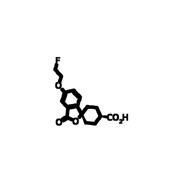 O=C1O[C@]2(CC[C@H](C(=O)O)CC2)c2ccc(OCCF)cc21